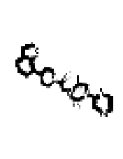 C[C@@H]1CN(CC(=O)N2CC=C(c3cccc4ccsc34)CC2)[C@@H](C)CN1c1cnccn1